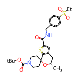 CCS(=O)(=O)c1ccc(CNC(=O)c2cc3c(s2)C2(CCN(C(=O)OC(C)(C)C)CC2)O[C@@H](C)C3)cc1